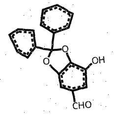 O=Cc1cc(O)c2c(c1)OC(c1ccccc1)(c1ccccc1)O2